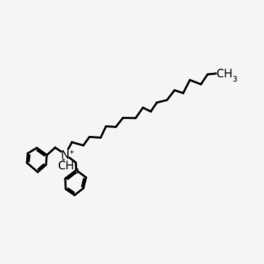 CCCCCCCCCCCCCCCCCC[N+](C)(Cc1ccccc1)Cc1ccccc1